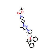 Cc1cc(N2CCC(CO[Si](c3ccccc3)(c3ccccc3)C(C)(C)C)C2(C)C)nn1C1CC2(C1)CN(C(=O)OC(C)(C)C)C2